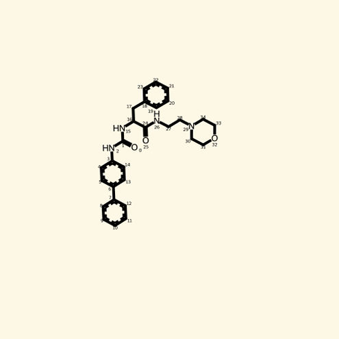 O=C(Nc1ccc(-c2ccccc2)cc1)NC(Cc1ccccc1)C(=O)NCCN1CCOCC1